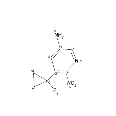 Nc1cnc([N+](=O)[O-])c(C2(F)CC2)c1